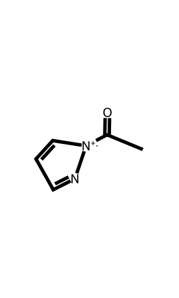 CC(=O)[N+]1C=CC=N1